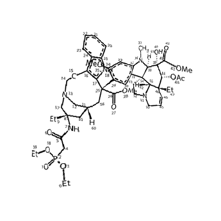 CCOP(=O)(CC(=O)N[C@@]1(CC)C[C@@H]2CN(CCc3c([nH]c4ccccc34)[C@@](C(=O)OC)(c3cc4c(cc3OC)N(C)[C@H]3[C@@](O)(C(=O)OC)[C@H](OC(C)=O)[C@]5(CC)C=CCN6CC[C@]43[C@@H]65)C2)C1)OCC